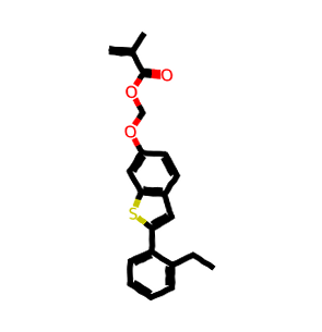 C=C(C)C(=O)OCOc1ccc2cc(-c3ccccc3CC)sc2c1